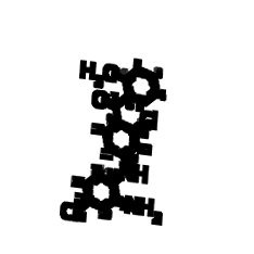 Cc1ccccc1C(=O)c1ccc(Nc2ccc(Cl)cc2N)cc1Cl